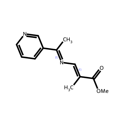 COC(=O)/C(C)=C/N=C(\C)c1cccnc1